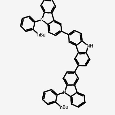 CCCCc1ccccc1-n1c2ccccc2c2cc(-c3ccc4[nH]c5ccc(-c6ccc7c(c6)c6ccccc6n7-c6ccccc6CCCC)cc5c4c3)ccc21